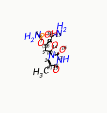 Cc1cn([C@H]2C[C@H](OP(N)O)[C@@H](CN)O2)c(=O)[nH]c1=O